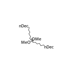 CCCCCCCCCCCCCCCC[Si](CCCCCCCCCCCCCCCC)(OC)OC